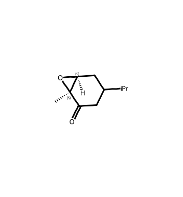 CC(C)C1CC(=O)[C@@]2(C)O[C@H]2C1